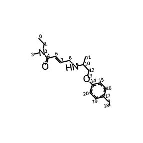 CCN(C)C(=O)/C=C/CNC(C)COc1ccc(I)cc1